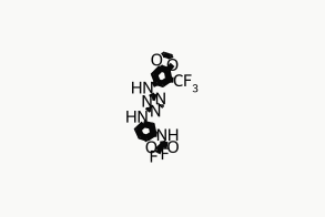 O=C1Nc2cc(Nc3ncnc(Nc4cc5c(c(C(F)(F)F)c4)OCCO5)n3)ccc2OC1(F)F